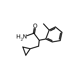 Cc1ccccc1C(CC1CC1)C(N)=O